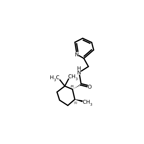 C[C@H]1CCCC(C)(C)[C@@H]1C(=O)NCc1ccccn1